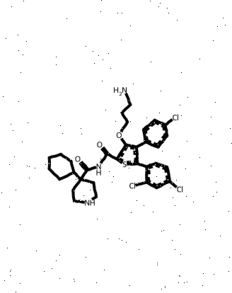 NCCCOc1c(C(=O)NC(=O)C2(C3CCCCC3)CCNCC2)sc(-c2ccc(Cl)cc2Cl)c1-c1ccc(Cl)cc1